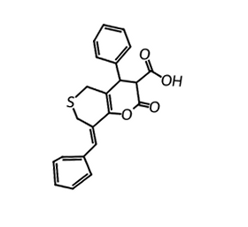 O=C(O)C1C(=O)OC2=C(CSC/C2=C\c2ccccc2)C1c1ccccc1